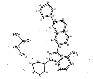 CNC(=O)O.Nc1ncnc2c1c(-c1ccc3ccc(-c4ccccn4)nc3c1)cn2C1CCCCC1